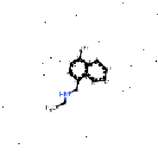 CC(C)c1ccc(CNCC(F)(F)F)c2ccccc12